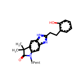 CCCCCN1C(=O)C(C)(C)c2cc3[nH]c(CCc4ccccc4O)nc3cc21